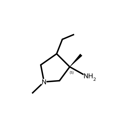 CCC1CN(C)C[C@@]1(C)N